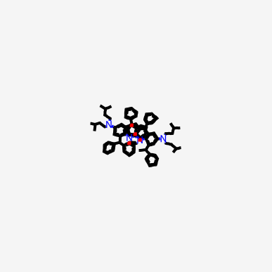 CC(C)CCN(CCC(C)C)c1cc(C(C)c2ccccc2)c(N2C=CN(c3c(C(c4ccccc4)c4ccccc4)cc(N(CCC(C)C)CCC(C)C)cc3C(c3ccccc3)c3ccccc3)C2)c(C(c2ccccc2)c2ccccc2)c1